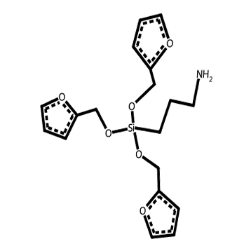 NCCC[Si](OCc1ccco1)(OCc1ccco1)OCc1ccco1